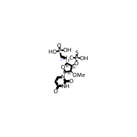 CO[C@@H]1[C@H](OP(C)(O)=S)[C@@H](/C=C/P(=O)(O)O)O[C@H]1n1ccc(=O)[nH]c1=O